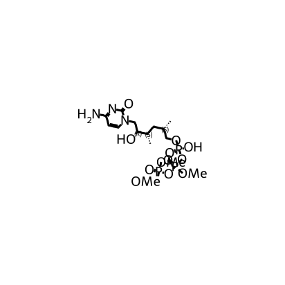 COP(=O)(OC)OP(=O)(OC)OP(=O)(O)OC[C@@H](C)C[C@H](C)[C@@H](O)Cn1ccc(N)nc1=O